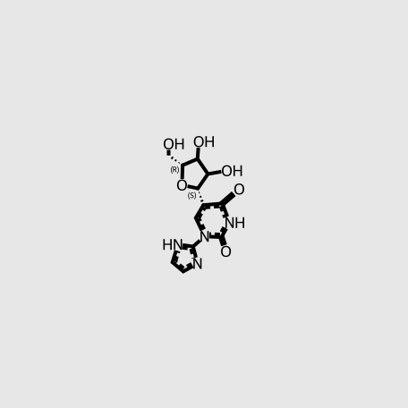 O=c1[nH]c(=O)n(-c2ncc[nH]2)cc1[C@@H]1O[C@H](CO)C(O)C1O